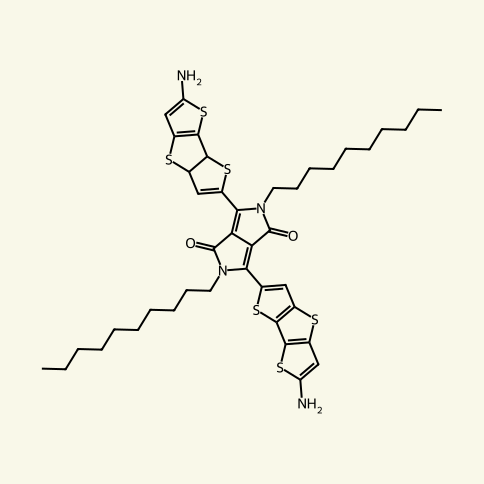 CCCCCCCCCCN1C(=O)C2=C(c3cc4sc5cc(N)sc5c4s3)N(CCCCCCCCCC)C(=O)C2=C1C1=CC2Sc3cc(N)sc3C2S1